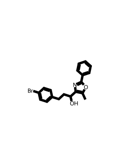 Cc1oc(-c2ccccc2)nc1C(O)CCc1ccc(Br)cc1